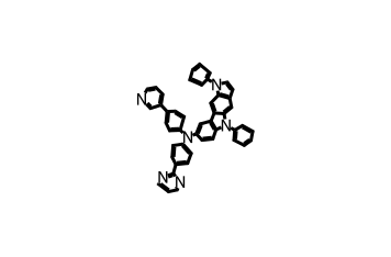 c1ccc(-n2ccc3cc4c(cc32)c2cc(N(c3ccc(-c5cccnc5)cc3)c3ccc(-c5ncccn5)cc3)ccc2n4-c2ccccc2)cc1